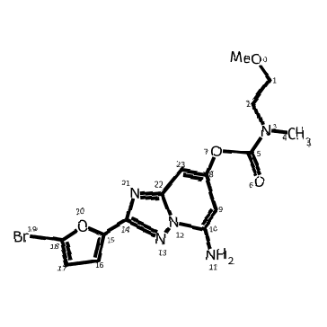 COCCN(C)C(=O)Oc1cc(N)n2nc(-c3ccc(Br)o3)nc2c1